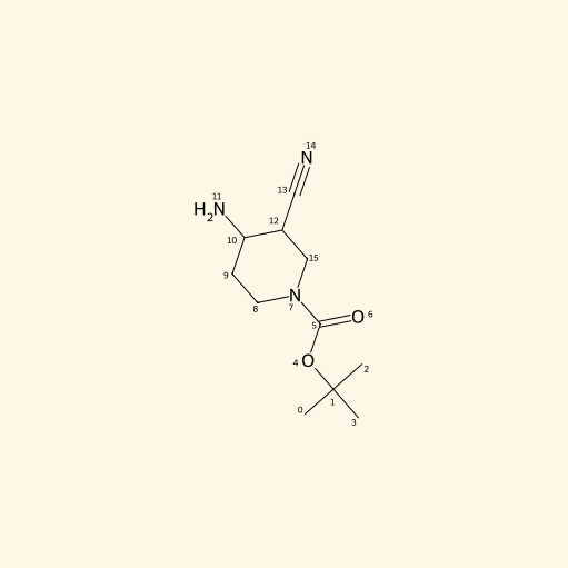 CC(C)(C)OC(=O)N1CCC(N)C(C#N)C1